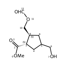 COC(=O)[C@H]1CC(CO)C[C@@H]1COC=O